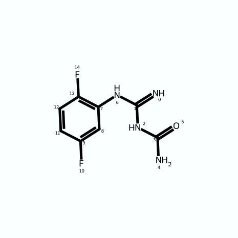 N=C(NC(N)=O)Nc1cc(F)ccc1F